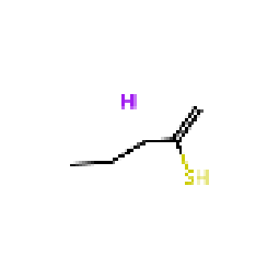 C=C(S)CCC.I